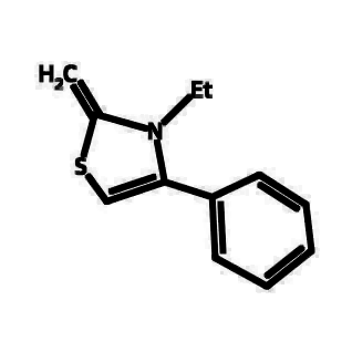 C=C1SC=C(c2ccccc2)N1CC